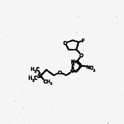 C[Si](C)(C)CCOCn1cc([N+](=O)[O-])c(OC2COCC2F)n1